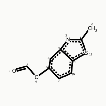 Cc1nc2cc(OC=O)ccc2s1